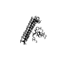 CC[N+](CC)(CC)CC.O=S(=O)([O-])C(F)(F)C(F)(F)C(F)(F)C(F)(F)C(F)(F)C(F)(F)C(F)(F)C(F)(F)C(F)(F)C(F)(F)C(F)F